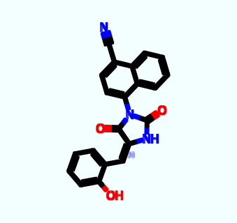 N#Cc1ccc(N2C(=O)N/C(=C/c3ccccc3O)C2=O)c2ccccc12